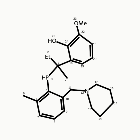 CCC(C)(Pc1c(C)cccc1CN1CCCCC1)c1cccc(OC)c1O